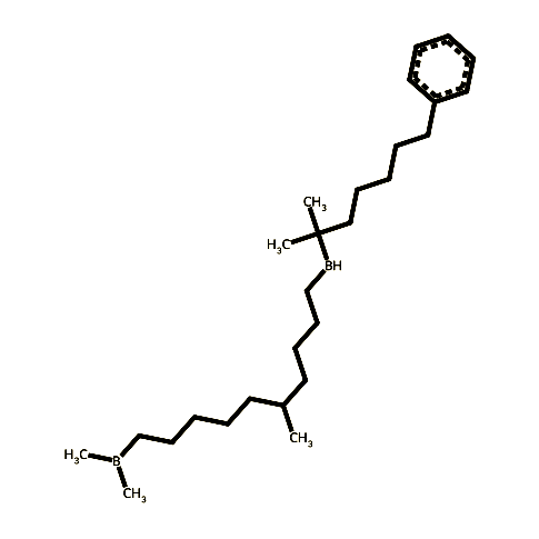 CB(C)CCCCCC(C)CCCCBC(C)(C)CCCCCc1ccccc1